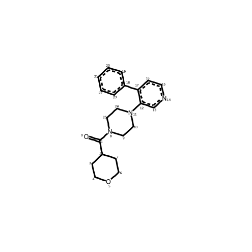 O=C(C1CCOCC1)N1CCN(c2cnccc2-c2ccccc2)CC1